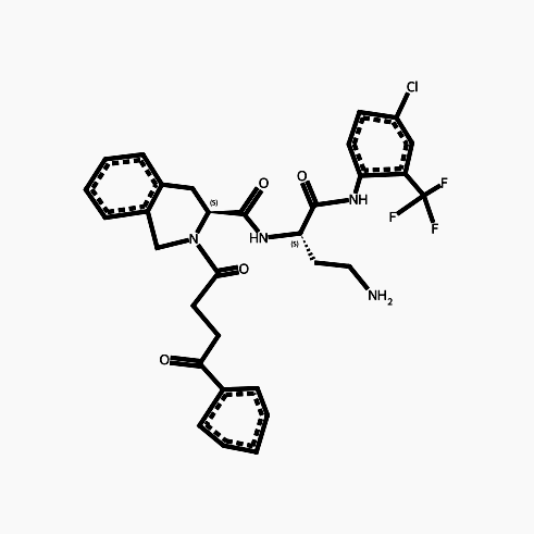 NCC[C@H](NC(=O)[C@@H]1Cc2ccccc2CN1C(=O)CCC(=O)c1ccccc1)C(=O)Nc1ccc(Cl)cc1C(F)(F)F